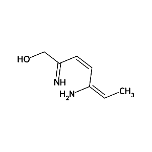 C/C=C(N)\C=C/C(=N)CO